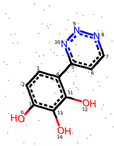 Oc1ccc(-c2ccnnn2)c(O)c1O